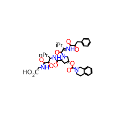 CCCC(NC(=O)C1C[C@@H](OC(=O)N2CCc3ccccc3C2)CN1C(=O)[C@@H](NC(=O)C(=O)Cc1ccccc1)C(C)C)C(=O)C(=O)NCC(=O)O